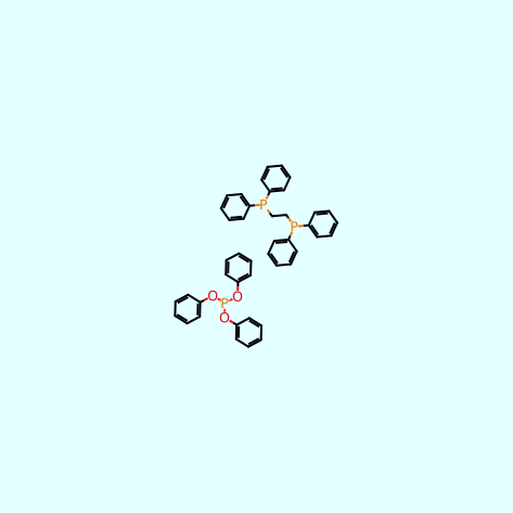 c1ccc(OP(Oc2ccccc2)Oc2ccccc2)cc1.c1ccc(P(CCP(c2ccccc2)c2ccccc2)c2ccccc2)cc1